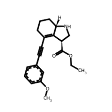 CCOC(=O)[C@@H]1CN[C@H]2CCCC(C#Cc3cccc(OC)c3)=C12